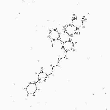 Cc1ccccc1-c1cc(COCCCC2=CN(C3CCCCC3)CS2)ccc1C(=O)N[C@@H](CO)C(=O)O